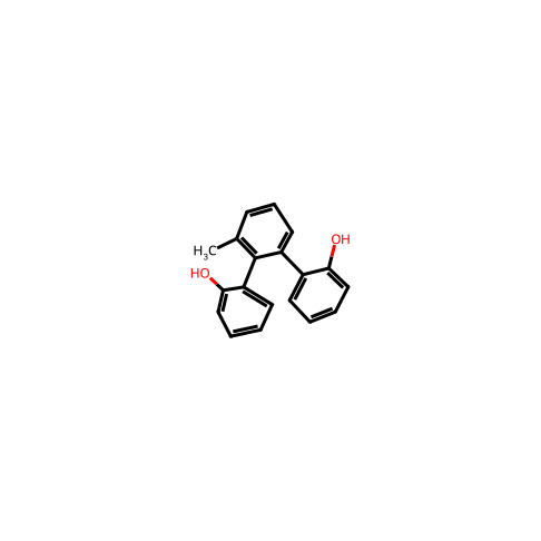 Cc1cccc(-c2ccccc2O)c1-c1ccccc1O